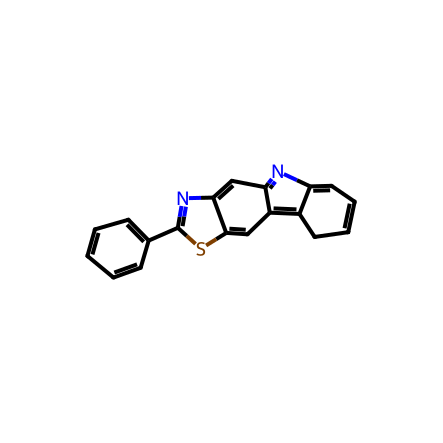 C1=CCC2=c3cc4sc(-c5ccccc5)nc4cc3=NC2=C1